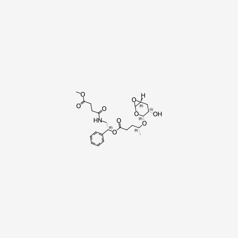 COC(=O)CCC(=O)NC[C@H](OC(=O)CC[C@@H](C)O[C@@H]1OC2O[C@@H]2C[C@@H]1O)c1ccccc1